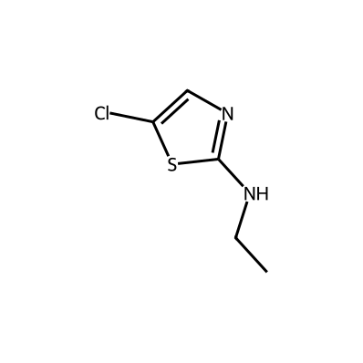 CCNc1ncc(Cl)s1